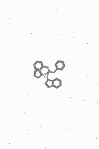 C1=CC[C]([Zr](=[C](Cc2ccccc2)Cc2ccccc2)[CH]2C=Cc3ccccc32)=C1